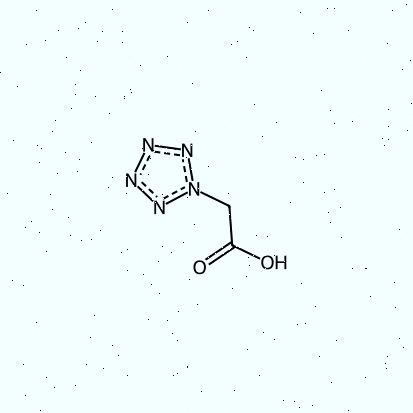 O=C(O)Cn1nnnn1